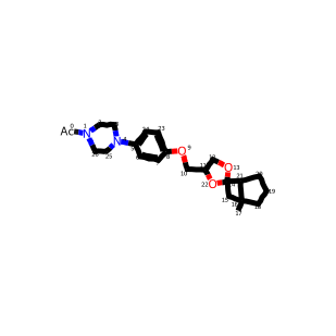 CC(=O)N1CCN(c2ccc(OCC3COC4(CC5(C)CCCC54)O3)cc2)CC1